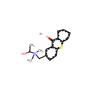 CC(O)[N+](C)(C)Cc1ccc2sc3ccccc3c(=O)c2c1.[Br-]